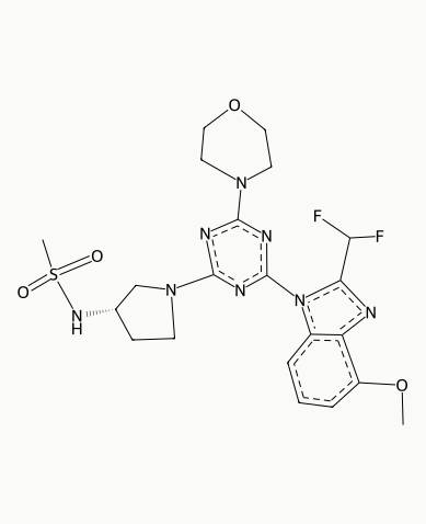 COc1cccc2c1nc(C(F)F)n2-c1nc(N2CCOCC2)nc(N2CC[C@H](NS(C)(=O)=O)C2)n1